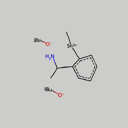 CCC(C)[O-].CCC(C)[O-].[CH3][Sn+2][c]1ccccc1C(C)N